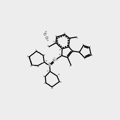 CC1=C(C2C=CC=C2)c2c(C)ccc(C)c2[CH]1[Zr+2]=[Si](C1CCCCC1)C1CCCCC1.[Cl-].[Cl-]